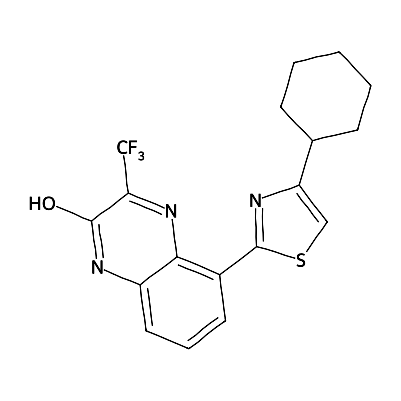 Oc1nc2cccc(-c3nc(C4CCCCC4)cs3)c2nc1C(F)(F)F